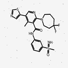 Cc1c(-c2cncs2)cnc(N2CCCC(F)(F)CC2)c1C(=O)Nc1cccc(S(C)(=N)=O)c1